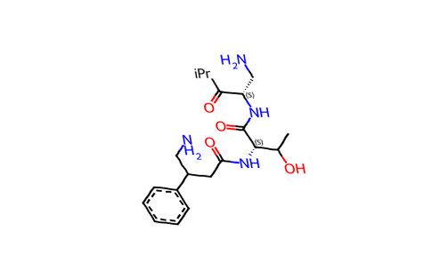 CC(C)C(=O)[C@H](CN)NC(=O)[C@@H](NC(=O)CC(CN)c1ccccc1)C(C)O